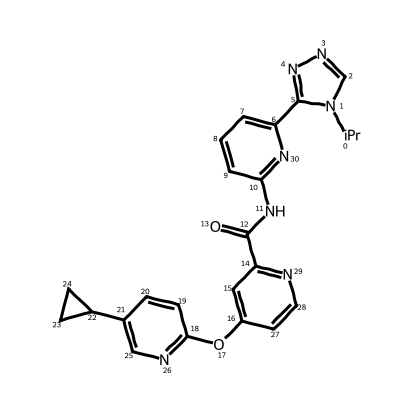 CC(C)n1cnnc1-c1cccc(NC(=O)c2cc(Oc3ccc(C4CC4)cn3)ccn2)n1